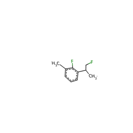 [CH2]C(CF)c1cccc(C)c1F